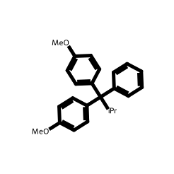 COc1ccc(C(c2ccccc2)(c2ccc(OC)cc2)C(C)C)cc1